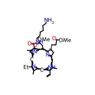 C=Cc1c(C)c2cc3nc(c(CC(=O)OC)c4[nH]c(cc5nc(cc1[nH]2)C(C)=C5CC)c(C)c4C(=O)NCCCCCCN)[C@@H](CCC(=O)OC)C3